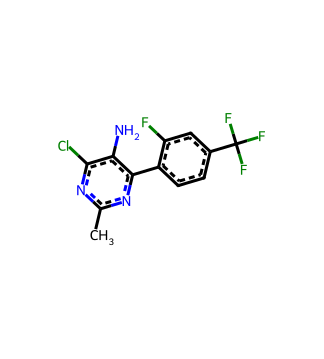 Cc1nc(Cl)c(N)c(-c2ccc(C(F)(F)F)cc2F)n1